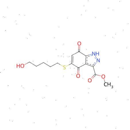 COC(=O)c1n[nH]c2c1C(=O)C(SCCCCCO)=CC2=O